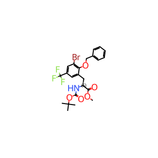 COC(=O)[C@H](Cc1cc(C(F)(F)F)cc(Br)c1OCc1ccccc1)NC(=O)OC(C)(C)C